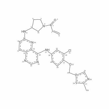 C=CC(=O)N1CCC(Nc2ccc3ncnc(Nc4ccc(OCc5cnc(C)s5)c(Cl)c4)c3n2)C1